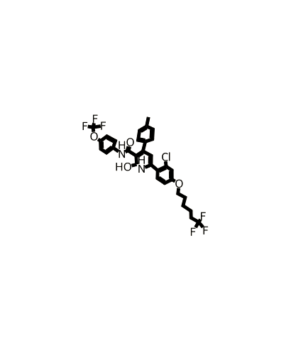 Cc1ccc(C2=C(C(=O)Nc3ccc(OC(F)(F)F)cc3)C(O)NC(c3ccc(OCCCCCC(F)(F)F)cc3Cl)=C2)cc1